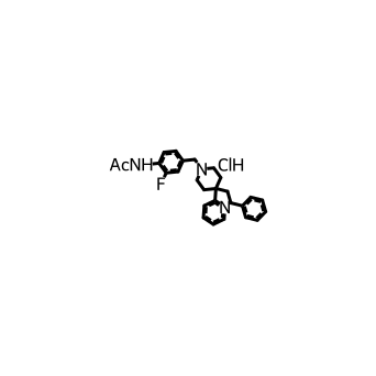 CC(=O)Nc1ccc(CN2CCC(CCc3ccccc3)(c3ccccn3)CC2)cc1F.Cl